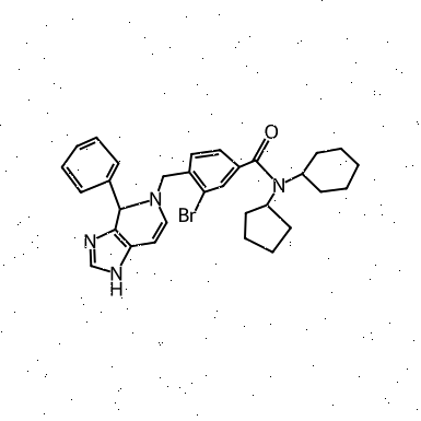 O=C(c1ccc(CN2C=Cc3[nH]cnc3C2c2ccccc2)c(Br)c1)N(C1CCCCC1)C1CCCC1